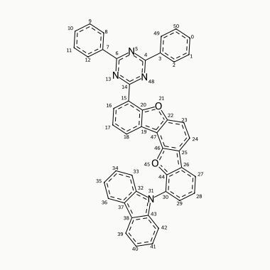 c1ccc(-c2nc(-c3ccccc3)nc(-c3cccc4c3oc3ccc5c6cccc(-n7c8ccccc8c8ccccc87)c6oc5c34)n2)cc1